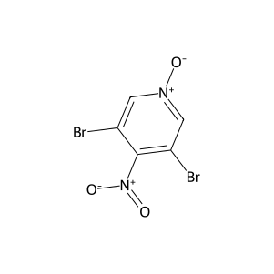 O=[N+]([O-])c1c(Br)c[n+]([O-])cc1Br